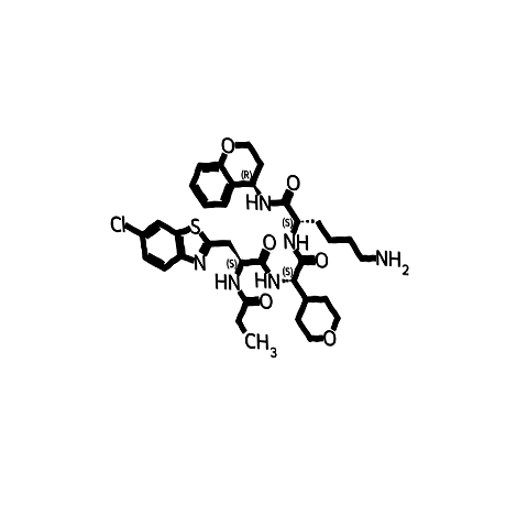 CCC(=O)N[C@@H](Cc1nc2ccc(Cl)cc2s1)C(=O)N[C@H](C(=O)N[C@@H](CCCCN)C(=O)N[C@@H]1CCOc2ccccc21)C1CCOCC1